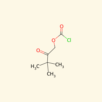 CC(C)(C)C(=O)COC(=O)Cl